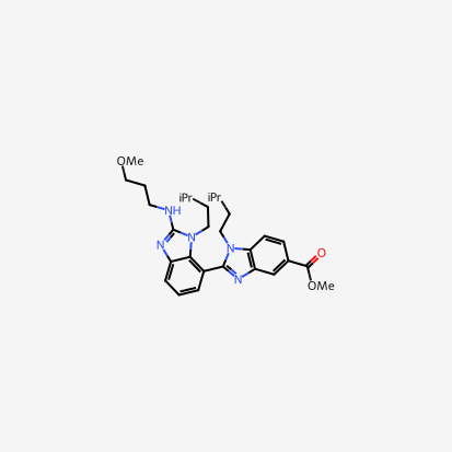 COCCCNc1nc2cccc(-c3nc4cc(C(=O)OC)ccc4n3CCC(C)C)c2n1CCC(C)C